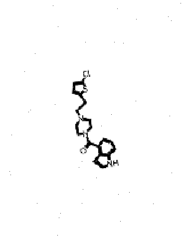 O=C(c1cccc2[nH]ccc12)N1CCN(CCc2ccc(Cl)s2)CC1